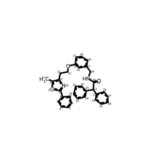 Cc1oc(-c2ccccc2)nc1CCOc1[c]c(CNC(=O)C(c2ccccc2)c2ccccc2)ccc1